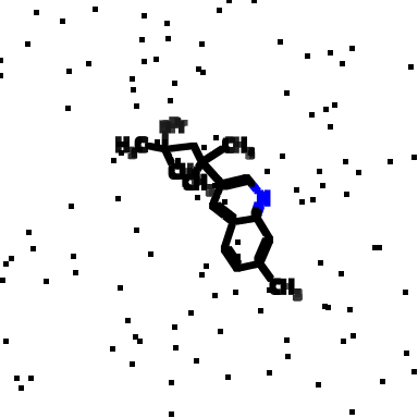 CCCC(C)(C)CC(C)(C)c1cnc2cc(C)ccc2c1